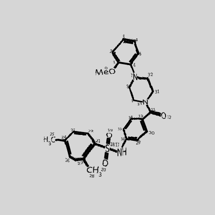 COc1ccccc1N1CCN(C(=O)c2ccc(NS(=O)(=O)c3ccc(C)cc3C)cc2)CC1